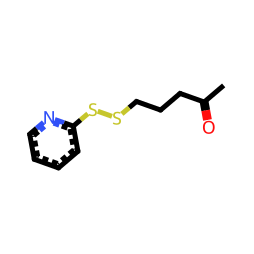 CC(=O)CCCSSc1ccccn1